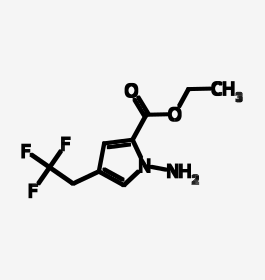 CCOC(=O)c1cc(CC(F)(F)F)cn1N